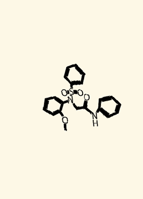 COc1ccccc1N(CC(=O)Nc1ccccc1)S(=O)(=O)c1ccccc1